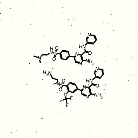 CN(C)CCNS(=O)(=O)c1ccc(-c2cnc(N)c(C(=O)Nc3cccnc3)n2)cc1.NCCNS(=O)(=O)c1ccc(-c2cnc(N)c(C(=O)Nc3cccnc3)n2)cc1OC(F)(F)F